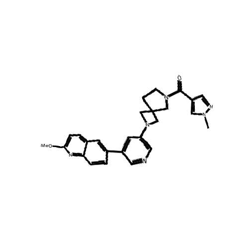 COc1ccc2cc(-c3cncc(N4CC5(CCN(C(=O)c6cnn(C)c6)C5)C4)c3)ccc2n1